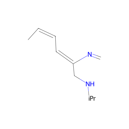 C=N/C(=C\C=C/C)CNC(C)C